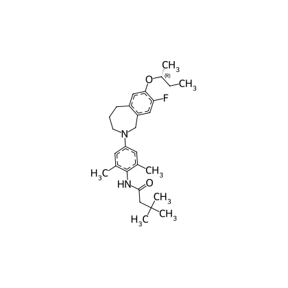 CC[C@@H](C)Oc1cc2c(cc1F)CN(c1cc(C)c(NC(=O)CC(C)(C)C)c(C)c1)CCC2